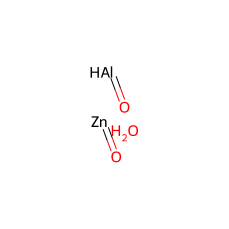 O.[O]=[AlH].[O]=[Zn]